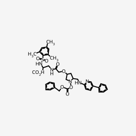 Cc1cc(C)c(S(=O)(=O)NC(CNC(=O)COC2CC(CNc3ccc(-c4ccccc4)cn3)N(OC(=O)OCc3ccccc3)C2)C(=O)O)c(C)c1